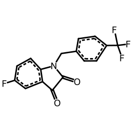 O=C1C(=O)N(Cc2ccc(C(F)(F)F)cc2)c2ccc(F)cc21